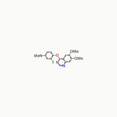 CNc1ccc(Oc2ncnc3cc(OC)c(OC)cc23)c(F)c1